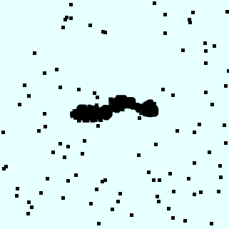 CC(C)(C)c1cc(NC(=O)Nc2ccc(-c3cn4cc(OCCCN5CCCOCC5)ccc4n3)cc2)no1